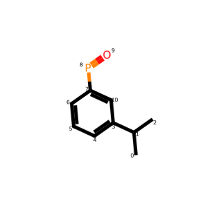 CC(C)c1cccc(P=O)c1